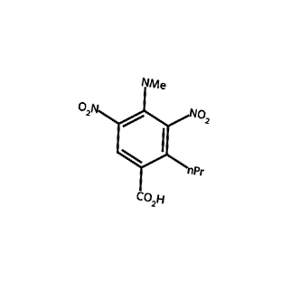 CCCc1c(C(=O)O)cc([N+](=O)[O-])c(NC)c1[N+](=O)[O-]